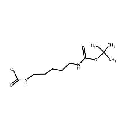 CC(C)(C)OC(=O)NCCCCCNC(=O)Cl